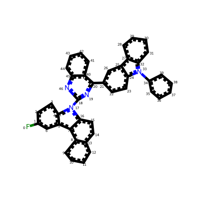 Fc1ccc2c(c1)c1c3ccccc3ccc1n2-c1nc(-c2ccc3c(c2)c2ccccc2n3-c2ccccc2)c2ccccc2n1